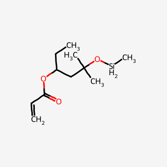 C=CC(=O)OC(CC)CC(C)(C)O[SiH2]C